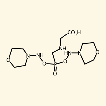 O=C(O)CNCP(=O)(ONN1CCOCC1)ONN1CCOCC1